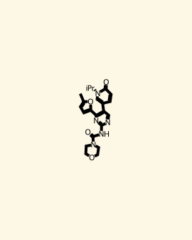 Cc1ccc(-c2nc(NC(=O)N3CCOCC3)ncc2-c2ccc(=O)n(C(C)C)c2)o1